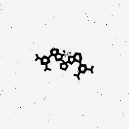 CC(C)c1cc(-c2cccc3c2C=C2[CH]3[Hf]([CH3])([CH3])[CH]3C(=Cc4c(-c5cc(C(C)C)cc(C(C)C)c5)cccc43)C23CCCC3)cc(C(C)C)c1